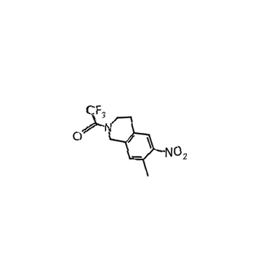 Cc1cc2c(cc1[N+](=O)[O-])CCN(C(=O)C(F)(F)F)C2